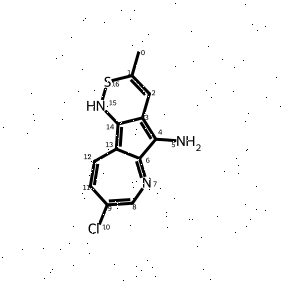 CC1=Cc2c(N)c3ncc(Cl)ccc-3c2NS1